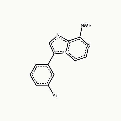 CNc1nccn2c(-c3cccc(C(C)=O)c3)cnc12